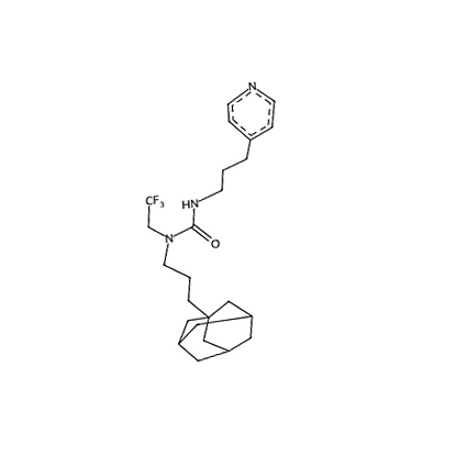 O=C(NCCCc1ccncc1)N(CCCC12CC3CC(CC(C3)C1)C2)CC(F)(F)F